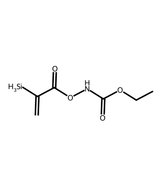 C=C([SiH3])C(=O)ONC(=O)OCC